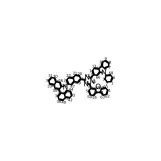 C1=CCCC(n2c3ccccc3c3ccc(-c4nc(-c5ccc6ccc(N7c8cc9ccccc9cc8-c8cccc9cccc7c89)cc6c5)nc(-c5cccc6c5oc5ccccc56)n4)cc32)=C1